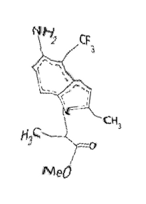 COC(=O)C(C)n1c(C)cc2c(C(F)(F)F)c(N)ccc21